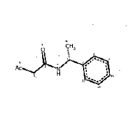 CC(=O)CC(=O)N[C@H](C)c1ccccc1